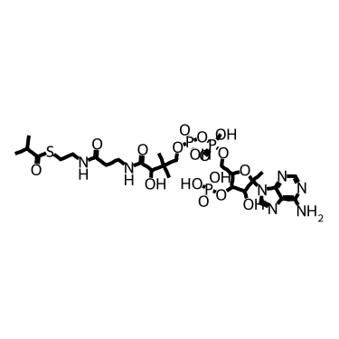 CC(C)C(=O)SCCNC(=O)CCNC(=O)C(O)C(C)(C)COP(=O)(O)OP(=O)(O)OCC1OC(C)(n2cnc3c(N)ncnc32)C(O)C1OP(=O)(O)O